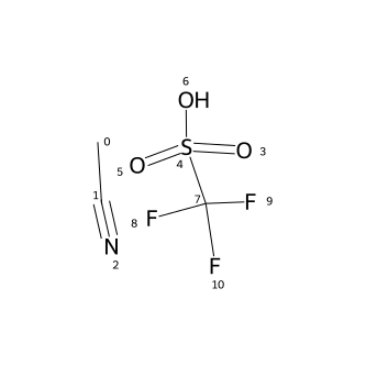 CC#N.O=S(=O)(O)C(F)(F)F